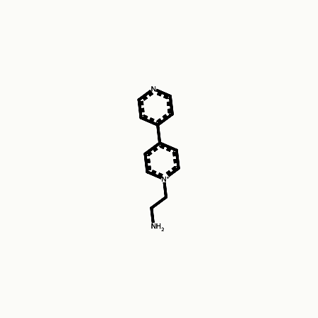 NCC[n+]1ccc(-c2ccncc2)cc1